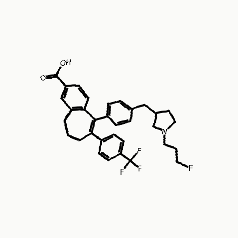 O=C(O)c1ccc2c(c1)CCCC(c1ccc(C(F)(F)F)cc1)=C2c1ccc(CC2CCN(CCCF)C2)cc1